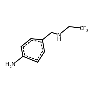 Nc1ccc(CNCC(F)(F)F)cc1